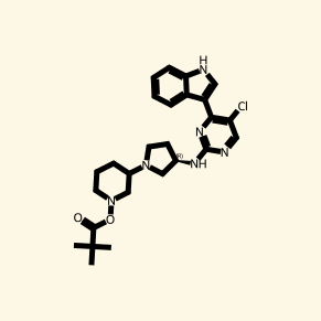 CC(C)(C)C(=O)ON1CCCC(N2CC[C@@H](Nc3ncc(Cl)c(-c4c[nH]c5ccccc45)n3)C2)C1